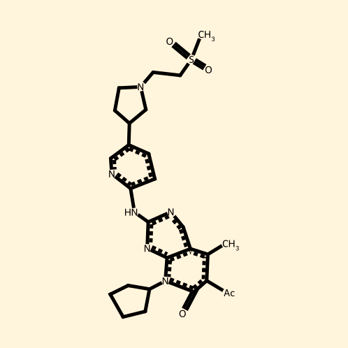 CC(=O)c1c(C)c2cnc(Nc3ccc(C4CCN(CCS(C)(=O)=O)C4)cn3)nc2n(C2CCCC2)c1=O